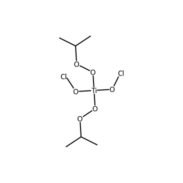 CC(C)O[O][Ti]([O]Cl)([O]Cl)[O]OC(C)C